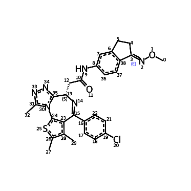 CO/N=C1\CCc2cc(NC(=O)C[C@@H]3N=C(c4ccc(Cl)cc4)c4c(sc(C)c4C)-n4c(C)nnc43)ccc21